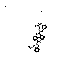 COc1ccccc1CNC(=O)c1ccccc1-c1ccccc1C(=O)N(CCC(=O)O)Cc1ccccc1